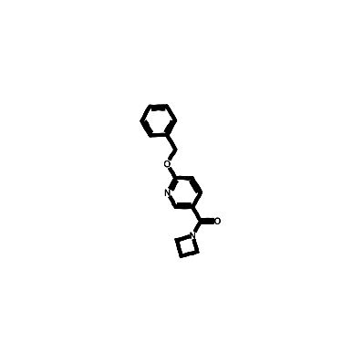 O=C(c1ccc(OCc2ccccc2)nc1)N1CCC1